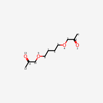 CC(=O)COCCCCOCC(C)=O